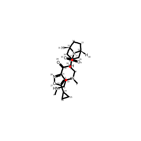 CNCCN(C)CCS(=O)(=O)N1[C@@H]2CC[C@H]1C[C@@H](NC(=O)c1cc(C3CC3)on1)C2